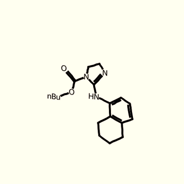 CCCCOC(=O)N1CCN=C1Nc1cccc2c1CCCC2